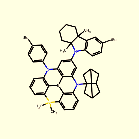 CC(C)(C)c1ccc(N2c3cc(N4c5ccc(C(C)(C)C)cc5C5(C)CCCCC45C)cc4c3B3c5c2cccc5S(C)(C)c2cccc(c23)N4C23CC4CC2CC4C3)cc1